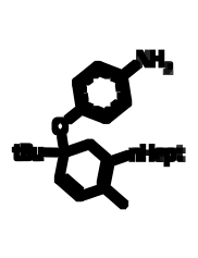 CCCCCCCC1=C(C)C=CC(Oc2ccc(N)cc2)(C(C)(C)C)C1